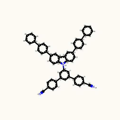 N#Cc1ccc(-c2cc(-c3ccc(C#N)cc3)cc(-n3c4ccc(-c5ccc(-c6ccccc6)cc5)cc4c4cc(-c5ccc(-c6ccccc6)cc5)ccc43)c2)cc1